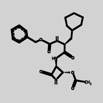 CC(=O)O[C@@H]1NC(=O)[C@H]1NC(=O)[C@H](CC1CCCCC1)NC(=O)OCc1ccccc1